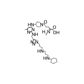 Cc1cc(NC2CCN(C(=O)CC[C@H](N)C(=O)O)CC2)nc(NCc2cn(CCCNCCCNC3CCCCC3)nn2)n1